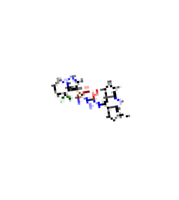 CC1CCc2c1nc1c(c2NC(=O)NS(=O)(=O)c2cnn3c2C(F)(F)CCC3)CCC1